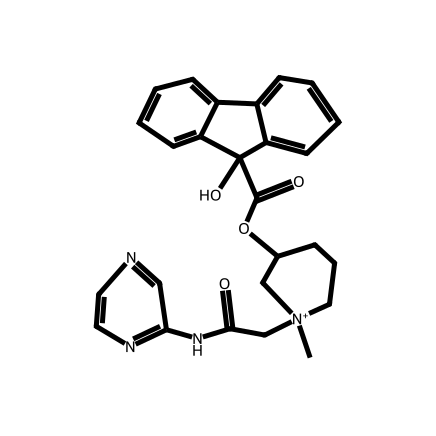 C[N+]1(CC(=O)Nc2cnccn2)CCCC(OC(=O)C2(O)c3ccccc3-c3ccccc32)C1